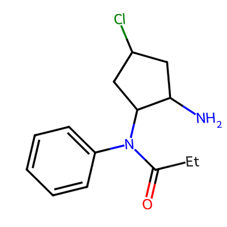 CCC(=O)N(c1ccccc1)C1CC(Cl)CC1N